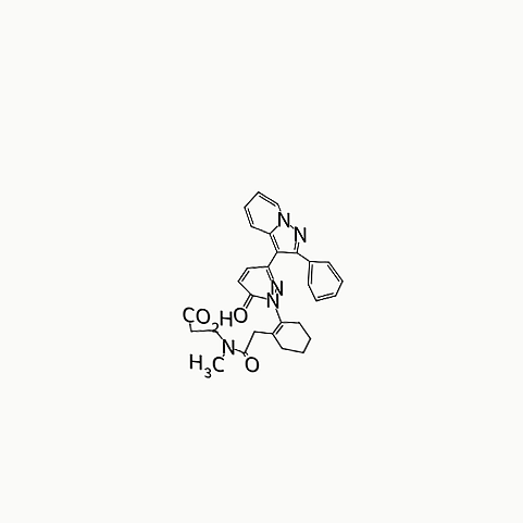 CN(CCC(=O)O)C(=O)CC1=C(n2nc(-c3c(-c4ccccc4)nn4ccccc34)ccc2=O)CCCC1